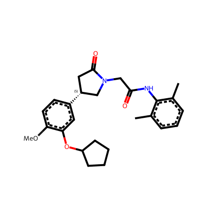 COc1ccc([C@@H]2CC(=O)N(CC(=O)Nc3c(C)cccc3C)C2)cc1OC1CCCC1